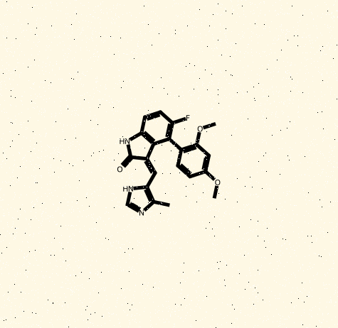 COc1ccc(-c2c(F)ccc3c2C(=Cc2[nH]cnc2C)C(=O)N3)c(OC)c1